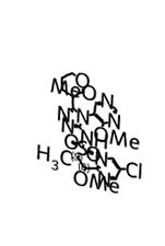 COc1ncnc(OC)c1-n1c(NS(=O)(=O)[C@@H](C)[C@H](OC)c2ncc(Cl)cn2)nnc1C1CCCOC1